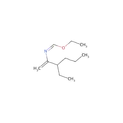 C=C(/N=C\OCC)C(CC)CCC